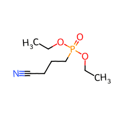 CCOP(=O)(CCCC#N)OCC